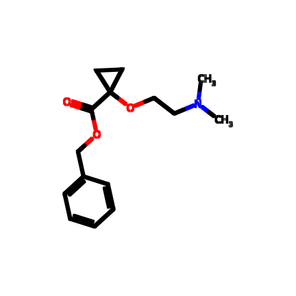 CN(C)CCOC1(C(=O)OCc2ccccc2)CC1